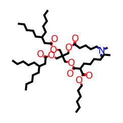 CCCCCCOC(=O)C(CCCCCC)C(=O)OCC(COC(=O)CCCCN(C)C)(COC(=O)CC(CCCCC)CCCCC)COC(=O)CC(CCCCC)CCCCC